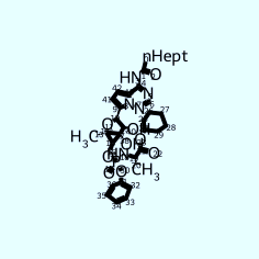 CCCCCCCC(=O)Nc1ncnn2c([C@@H]3O[C@]4(C)C(O[P@@](=O)(N[C@@H](C)C(=O)OC5CCCCC5)Oc5ccccc5)[C@]4(O)[C@H]3O)ccc12